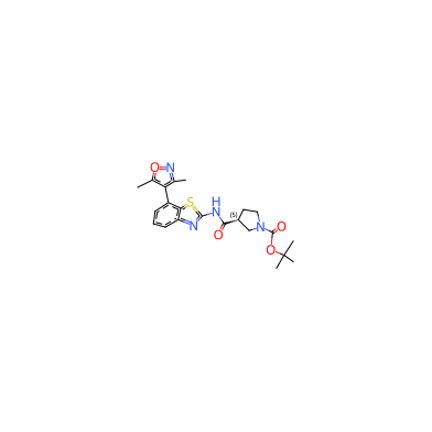 Cc1noc(C)c1-c1cccc2nc(NC(=O)[C@H]3CCN(C(=O)OC(C)(C)C)C3)sc12